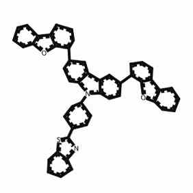 c1ccc2sc(-c3ccc(-n4c5ccc(-c6cccc7c6oc6ccccc67)cc5c5cc(-c6cccc7c6oc6ccccc67)ccc54)cc3)nc2c1